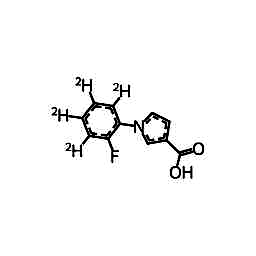 [2H]c1c([2H])c([2H])c(-n2ccc(C(=O)O)c2)c(F)c1[2H]